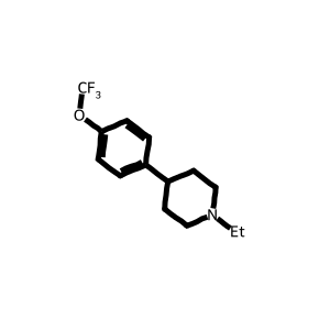 CCN1CCC(c2ccc(OC(F)(F)F)cc2)CC1